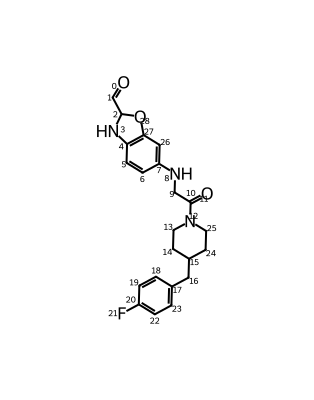 O=CC1Nc2ccc(NCC(=O)N3CCC(Cc4ccc(F)cc4)CC3)cc2O1